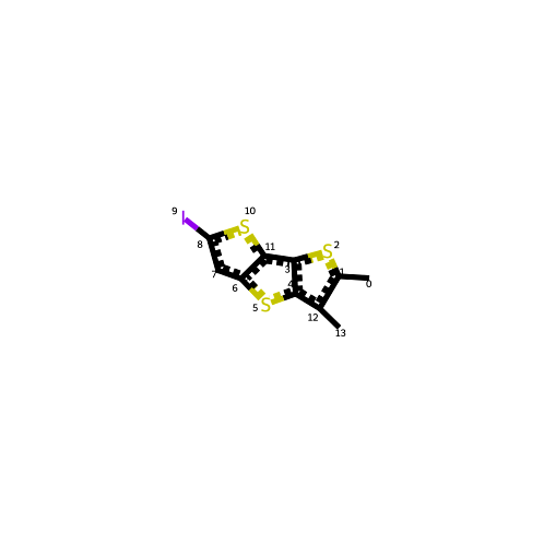 Cc1sc2c(sc3cc(I)sc32)c1C